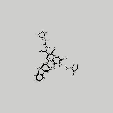 CN1CCCC1CCNc1c(F)cc2c(=O)c(C(=O)NCCN3CCCC3)cn3c2c1Oc1cc2c(cc1-3)oc1ccccc12